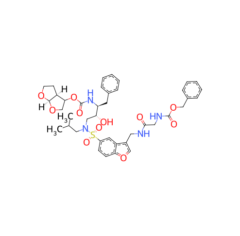 CC(C)CN(C[C@@H](O)[C@H](Cc1ccccc1)NC(=O)OC1CO[C@H]2OCC[C@@H]12)S(=O)(=O)c1ccc2occ(CNC(=O)CNC(=O)OCc3ccccc3)c2c1